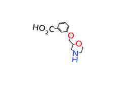 O=C(O)c1cccc(OCC2CNCCO2)c1